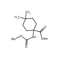 COC(=O)C1(NC(=O)OC(C)(C)C)CCC(C)(C)CC1